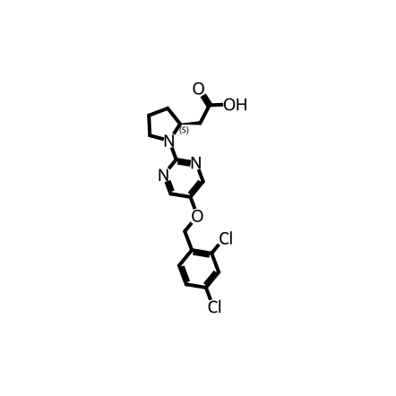 O=C(O)C[C@@H]1CCCN1c1ncc(OCc2ccc(Cl)cc2Cl)cn1